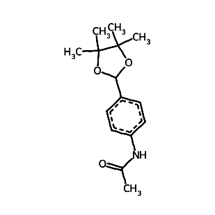 CC(=O)Nc1ccc(C2OC(C)(C)C(C)(C)O2)cc1